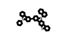 c1ccc(-n2c3ccccc3c3cc(-c4ccc5c(c4)c4cc6sc7ccccc7c6cc4n5-c4cccc5ccccc45)ccc32)cc1